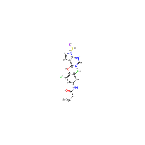 CCOC(=O)CC(=O)Nc1cc(Cl)c(Oc2ncnc3c2ccn3SI)c(Cl)c1